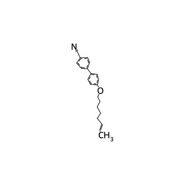 CC=CCCCCCOc1ccc(-c2ccc(C#N)cc2)cc1